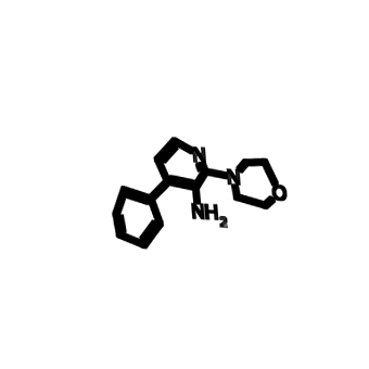 Nc1c(-c2ccccc2)ccnc1N1CCOCC1